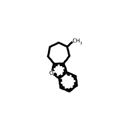 CC1CCCc2oc3ccccc3c2C1